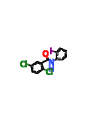 O=C(Nc1ccccc1I)c1cc(Cl)ccc1Cl